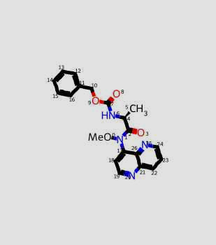 CON(C(=O)[C@H](C)NC(=O)OCc1ccccc1)c1ccnc2cccnc12